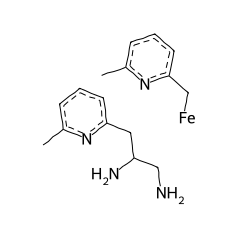 Cc1cccc(CC(N)CN)n1.Cc1cccc([CH2][Fe])n1